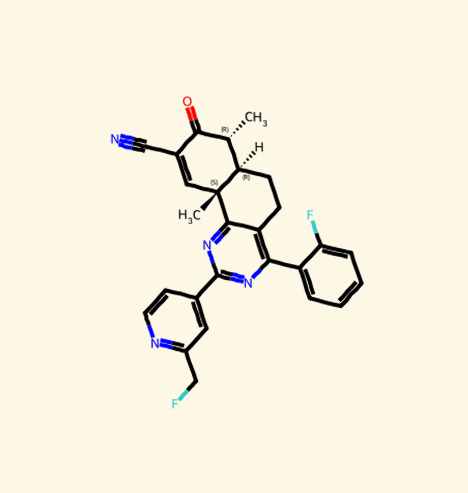 C[C@H]1C(=O)C(C#N)=C[C@@]2(C)c3nc(-c4ccnc(CF)c4)nc(-c4ccccc4F)c3CC[C@H]12